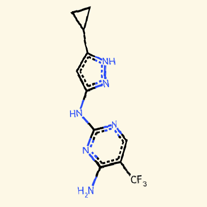 Nc1nc(Nc2cc(C3CC3)[nH]n2)ncc1C(F)(F)F